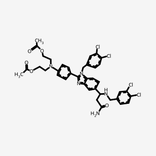 CC(=O)OCCN(CCOC(C)=O)c1ccc(-c2nc3cc(C(CC(N)=O)NCc4ccc(Cl)c(Cl)c4)ccc3n2Cc2ccc(Cl)c(Cl)c2)cc1